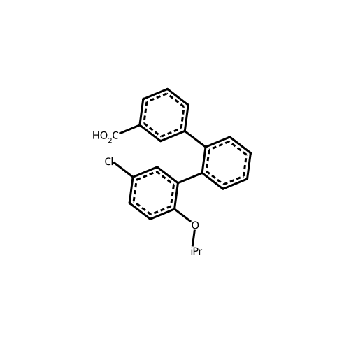 CC(C)Oc1ccc(Cl)cc1-c1ccccc1-c1cccc(C(=O)O)c1